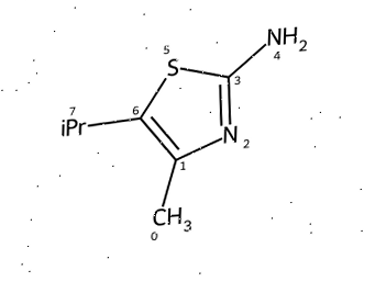 Cc1nc(N)sc1C(C)C